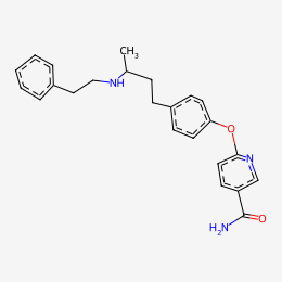 CC(CCc1ccc(Oc2ccc(C(N)=O)cn2)cc1)NCCc1ccccc1